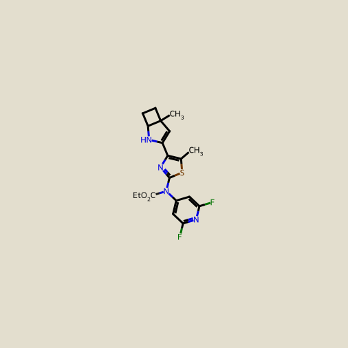 CCOC(=O)N(c1cc(F)nc(F)c1)c1nc(C2=CC3(C)CCC3N2)c(C)s1